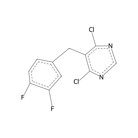 Fc1ccc(Cc2c(Cl)ncnc2Cl)cc1F